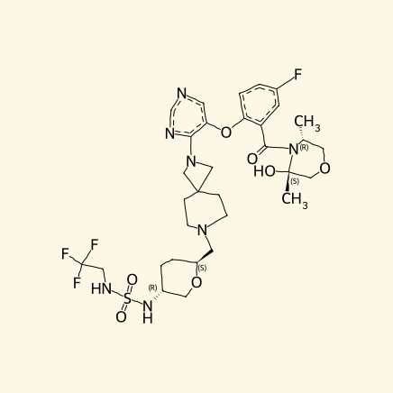 C[C@@H]1COC[C@](C)(O)N1C(=O)c1cc(F)ccc1Oc1cncnc1N1CC2(CCN(C[C@@H]3CC[C@@H](NS(=O)(=O)NCC(F)(F)F)CO3)CC2)C1